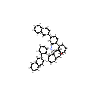 c1ccc(-c2ccc(-c3ccc4ccccc4c3)cc2N(c2cccc(-c3ccc4ccccc4c3)c2)c2cccc3ccccc23)cc1